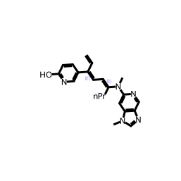 C=C/C(=C\C=C(/CCC)N(C)c1cc2c(cn1)ncn2C)c1ccc(O)nc1